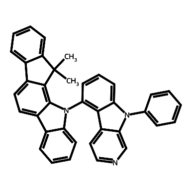 CC1(C)c2ccccc2-c2ccc3c4ccccc4n(-c4cccc5c4c4ccncc4n5-c4ccccc4)c3c21